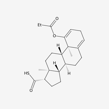 CCC(=O)OC1=CCC=C2CC[C@@H]3[C@H](CC[C@]4(C)[C@@H](C(=O)S)CC[C@@H]34)[C@]21C